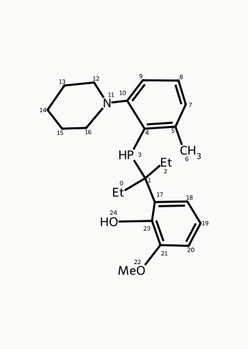 CCC(CC)(Pc1c(C)cccc1N1CCCCC1)c1cccc(OC)c1O